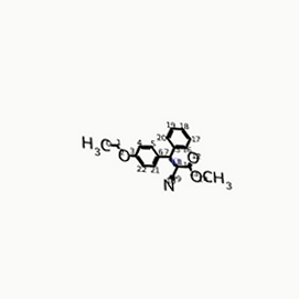 CCOc1ccc(/C(=C(\C#N)C(=O)OC)c2ccccc2)cc1